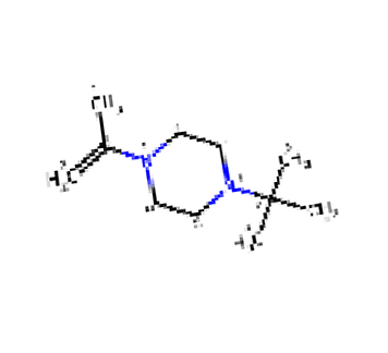 C=C(C)N1CCN(C(C)(C)C)CC1